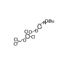 CC(C)CON=Cc1ccc(OCCOc2c(Cl)cc(OCC=C(Cl)Cl)cc2Cl)cc1